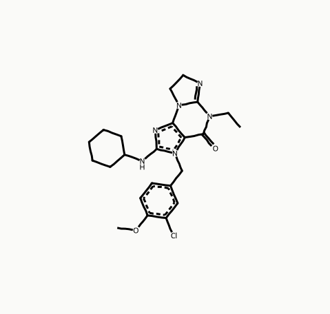 CCN1C(=O)c2c(nc(NC3CCCCC3)n2Cc2ccc(OC)c(Cl)c2)N2CCN=C12